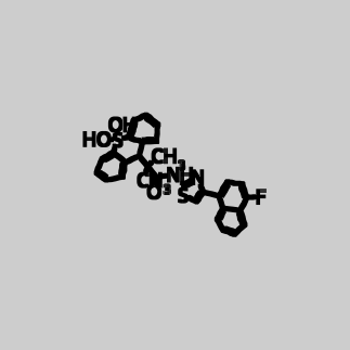 CC(C)(C(=O)Nc1nc(-c2ccc(F)c3ccccc23)cs1)C1c2ccccc2S(O)(O)c2ccccc21